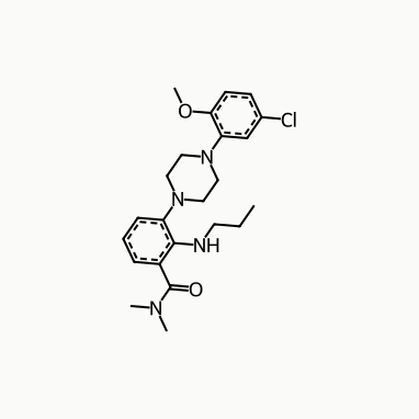 CCCNc1c(C(=O)N(C)C)cccc1N1CCN(c2cc(Cl)ccc2OC)CC1